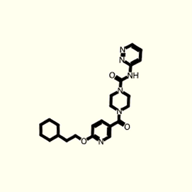 O=C(Nc1cccnn1)N1CCN(C(=O)c2ccc(OCCC3CCCCC3)nc2)CC1